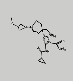 COC1CN(N2CCC(CC#N)(n3cc(C(N)=O)c(NC(=O)C4CC4)n3)CC2)C1